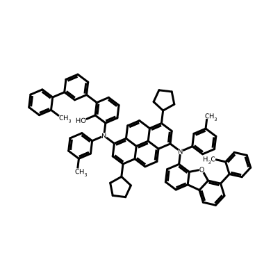 Cc1cccc(N(c2cccc(-c3cccc(-c4ccccc4C)c3)c2O)c2cc(C3CCCC3)c3ccc4c(N(c5cccc(C)c5)c5cccc6c5oc5c(-c7ccccc7C)cccc56)cc(C5CCCC5)c5ccc2c3c54)c1